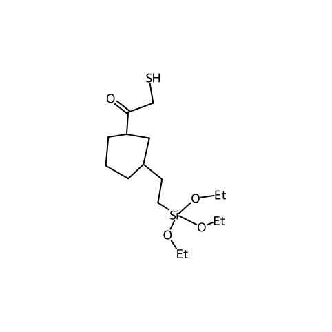 CCO[Si](CCC1CCCC(C(=O)CS)C1)(OCC)OCC